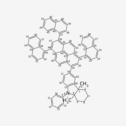 CC12CCCCC1(C)N(c1ccccc1)c1ccc(-c3cc(-c4cccc5ccccc45)c4ccc5c(-c6cccc7ccccc67)cc(-c6cccc7ccccc67)c6ccc3c4c65)cc12